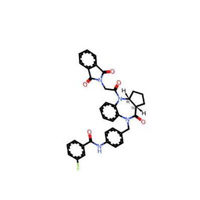 O=C(Nc1ccc(CN2C(=O)[C@H]3CCC[C@H]3N(C(=O)CN3C(=O)c4ccccc4C3=O)c3ccccc32)cc1)c1cccc(F)c1